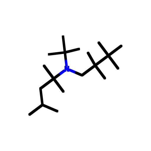 CC(C)CC(C)(C)N(CC(C)(C)C(C)(C)C)C(C)(C)C